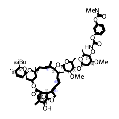 CC[C@H](C)[C@H]1O[C@]2(C=C[C@@H]1C)CC1C[C@@H](C/C=C(\C)[C@@H](O[C@H]3C[C@H](OC)[C@@H](O[C@H]4C[C@H](OC)[C@@H](ONC(=O)Oc5cccc(OC(=O)NC)c5)[C@H](C)O4)[C@H](C)O3)[C@@H](C)/C=C/C=C3\CO[C@@H]4[C@H](O)C(C)=C[C@@H](C(=O)O1)[C@]34O)O2